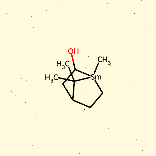 C[C]1(C)C2C[CH2][Sm]1([CH3])[CH](O)C2